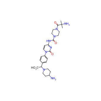 CC(C)(N)C(=O)N1CCN(C(=O)Nc2ccn(-c3ccc(C(C(=O)O)N4CCC(N)CC4)cc3)c(=O)n2)CC1